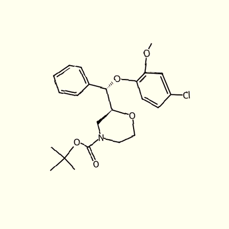 COc1cc(Cl)ccc1O[C@@H](c1ccccc1)[C@@H]1CN(C(=O)OC(C)(C)C)CCO1